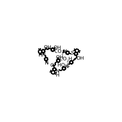 CN(C)c1ccc(CCNc2cc(C(=O)C=Cc3ccc(C(=O)O)c(O)c3)cc3c2C(C)(C)CCC3(C)C)cc1.CN(C)c1ccc(CNc2cc(C(O)C=Cc3ccc(C(=O)O)c(O)c3)cc3c2C(C)(C)CCC3(C)C)cc1.CN(C)c1ccc(CSc2cc(C(O)C#Cc3ccc(C(=O)O)cc3)cc3c2C(C)(C)CCC3(C)C)cc1